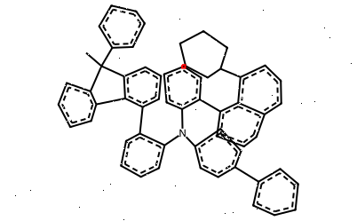 CC1(c2ccccc2)c2ccccc2-c2c(-c3ccccc3N(c3ccc(-c4ccccc4)cc3)c3ccccc3-c3cccc4cccc(C5CCCCC5)c34)cccc21